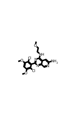 COCCNc1nc(-c2c(Cl)c(OC)cc(OC)c2Cl)nc2cnc(N)cc12